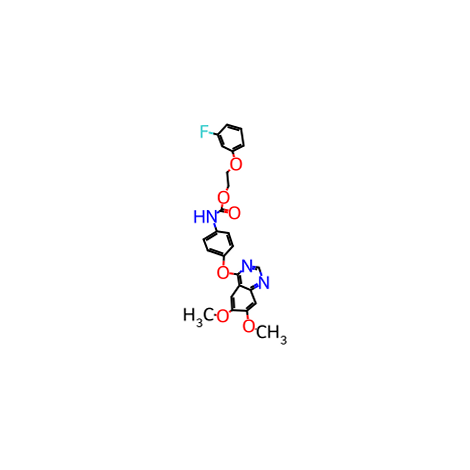 COc1cc2ncnc(Oc3ccc(NC(=O)OCCOc4cccc(F)c4)cc3)c2cc1OC